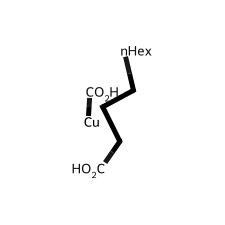 CCCCCCCCCC(=O)O.O=[C](O)[Cu]